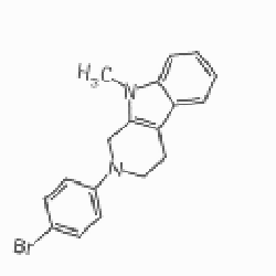 Cn1c2c(c3ccccc31)CCN(c1ccc(Br)cc1)C2